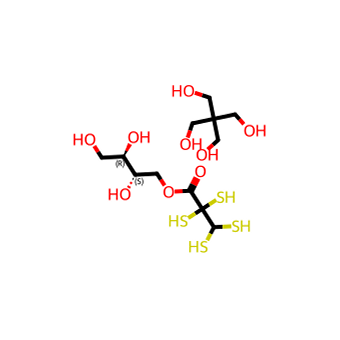 O=C(OC[C@H](O)[C@H](O)CO)C(S)(S)C(S)S.OCC(CO)(CO)CO